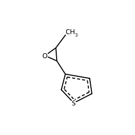 CC1OC1c1ccsc1